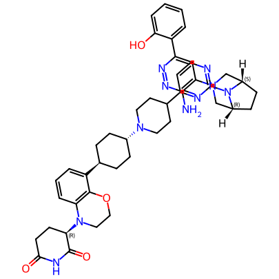 Nc1nnc(-c2ccccc2O)cc1N1C[C@H]2CC[C@@H](C1)N2c1nccc(C2CCN([C@H]3CC[C@H](c4cccc5c4OCCN5[C@@H]4CCC(=O)NC4=O)CC3)CC2)n1